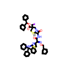 O=C(NC1C(=O)N2CC(CI)(C(=O)OC(c3ccccc3)c3ccccc3)CS[C@H]12)C(=NOCc1ccccc1)c1csc(NC(c2ccccc2)(c2ccccc2)c2ccccc2)n1